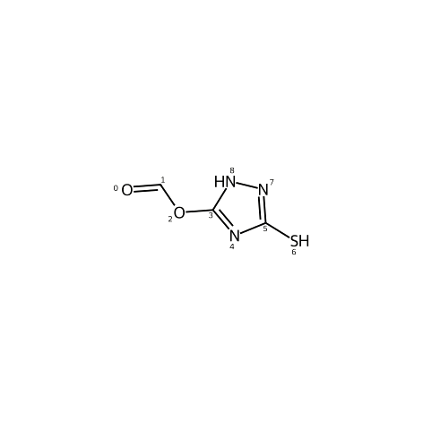 O=COc1nc(S)n[nH]1